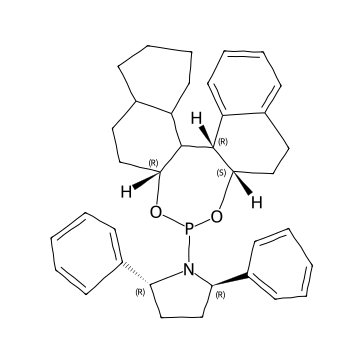 c1ccc([C@H]2CC[C@H](c3ccccc3)N2P2O[C@H]3CCc4ccccc4[C@H]3C3C4CCCCC4CC[C@H]3O2)cc1